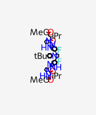 COC(=O)C[C@H](C(=O)N1CCC[C@H]1c1nc2cc(F)c([C@H]3CCC(c4cc5nc([C@@H]6CCCN6C(=O)[C@@H](NC(=O)OC)C(C)C)[nH]c5cc4F)N3c3ccc(C(C)(C)C)cc3)cc2[nH]1)C(C)C